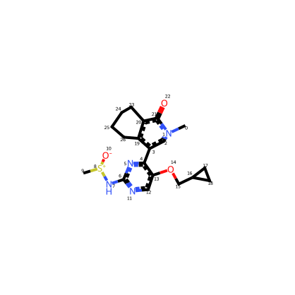 Cn1cc(-c2nc(N[S+](C)[O-])ncc2OCC2CC2)c2c(c1=O)CCCC2